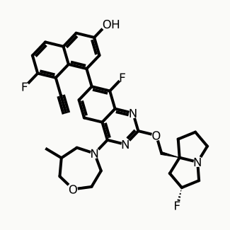 C#Cc1c(F)ccc2cc(O)cc(-c3ccc4c(N5CCOCC(C)C5)nc(OC[C@@]56CCCN5C[C@H](F)C6)nc4c3F)c12